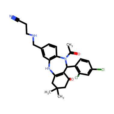 CC(=O)N1c2ccc(CNCCC#N)cc2NC2=C(C(=O)CC(C)(C)C2)C1c1ccc(Cl)cc1Cl